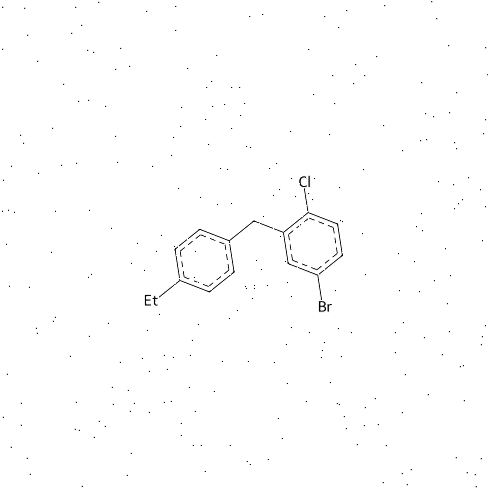 CCc1ccc(Cc2cc(Br)ccc2Cl)cc1